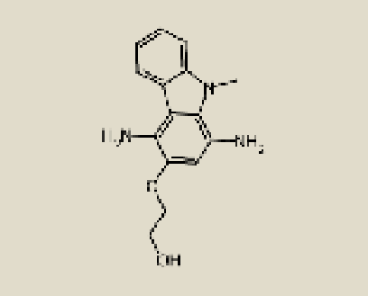 Cn1c2ccccc2c2c(N)c(OCCO)cc(N)c21